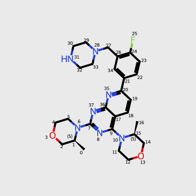 C[C@H]1COCCN1c1nc(N2CCOC[C@@H]2C)c2ccc(-c3ccc(F)c(CN4CCNCC4)c3)nc2n1